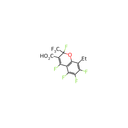 CCc1c(F)c(F)c(F)c2c1OC(F)(C(F)(F)F)C(C(=O)O)=C2F